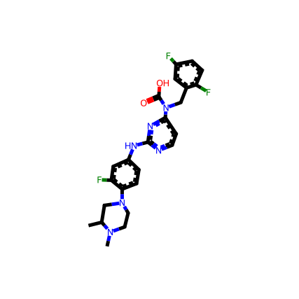 CC1CN(c2ccc(Nc3nccc(N(Cc4cc(F)ccc4F)C(=O)O)n3)cc2F)CCN1C